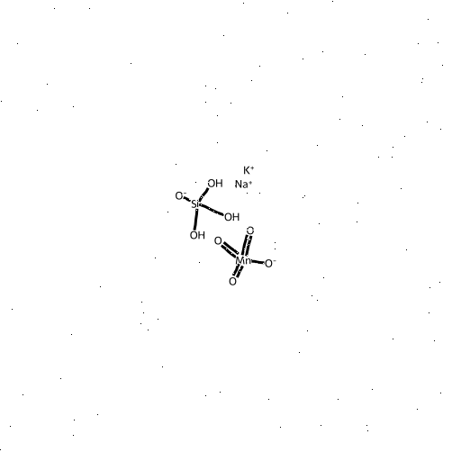 [K+].[Na+].[O-][Si](O)(O)O.[O]=[Mn](=[O])(=[O])[O-]